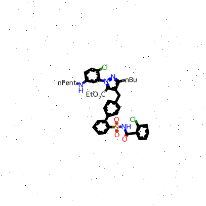 CCCCCNc1ccc(Cl)c(-n2nc(CCCC)c(Cc3ccc(-c4ccccc4S(=O)(=O)NC(=O)c4ccccc4Cl)cc3)c2C(=O)OCC)c1